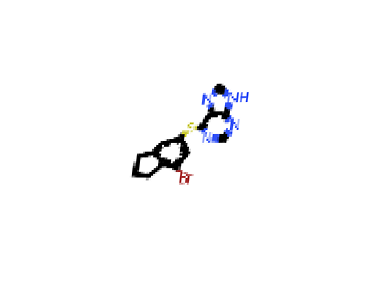 Brc1cc(Sc2ncnc3[nH]cnc23)cc2c1CCC2